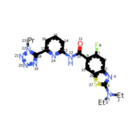 CCN(CC)c1nc2cc(F)c(C(=O)Nc3cccc(-c4nnnn4C(C)C)n3)cc2s1